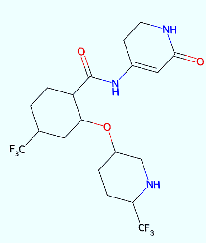 O=C1C=C(NC(=O)C2CCC(C(F)(F)F)CC2OC2CCC(C(F)(F)F)NC2)CCN1